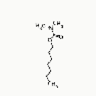 CCCCCCCOC(=O)N(C)C